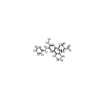 C=C(C)C1=CN2C(=CC1=C)c1cc(CC)c(CCc3ccccc3)cc1C1CCCCC12